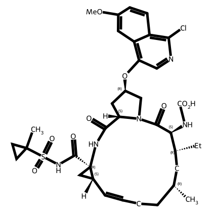 CC[C@@H]1C[C@H](C)CCC=C[C@@H]2C[C@@]2(C(=O)NS(=O)(=O)C2(C)CC2)NC(=O)[C@@H]2C[C@@H](Oc3cnc(Cl)c4ccc(OC)cc34)CN2C(=O)[C@H]1NC(=O)O